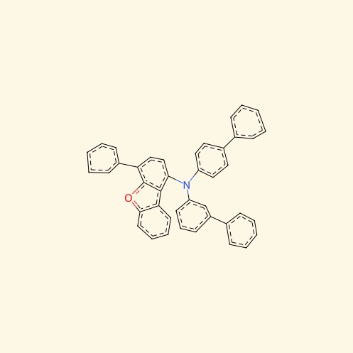 c1ccc(-c2ccc(N(c3cccc(-c4ccccc4)c3)c3ccc(-c4ccccc4)c4oc5ccccc5c34)cc2)cc1